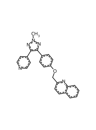 Cn1nc(-c2ccncc2)c(-c2ccc(OCc3ccc4ccccc4n3)cc2)n1